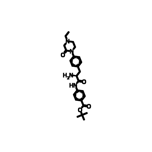 CCN1CCN(c2ccc(C[C@H](N)C(=O)Nc3ccc(C(=O)OC(C)(C)C)cc3)cc2)C(=O)C1